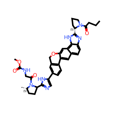 CCCC(=O)N1CCC[C@H]1c1nc2ccc3cc4c(cc3c2[nH]1)OCc1cc(-c2cnc(C3CC[C@H](C)N3C(=O)CNC(=O)OC)[nH]2)ccc1-4